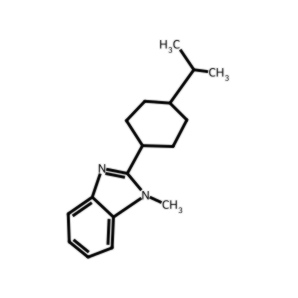 CC(C)C1CCC(c2nc3ccccc3n2C)CC1